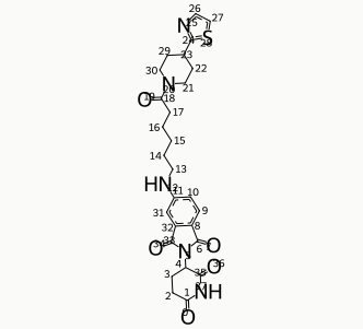 O=C1CCC(N2C(=O)c3ccc(NCCCCCC(=O)N4CCC(c5nccs5)CC4)cc3C2=O)C(=O)N1